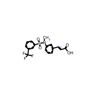 CN(c1cccc(/C=C/C(=O)O)c1)S(=O)(=O)c1cccc(C(F)(F)F)c1